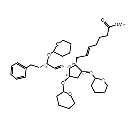 COC(=O)CCCC=CC[C@@H]1[C@@H](C=C[C@H](CCc2ccccc2)OC2CCCCO2)[C@H](OC2CCCCO2)C[C@@H]1OC1CCCCO1